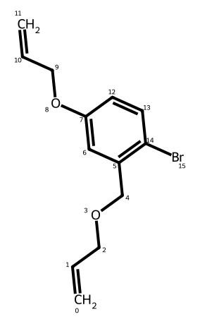 C=CCOCc1cc(OCC=C)ccc1Br